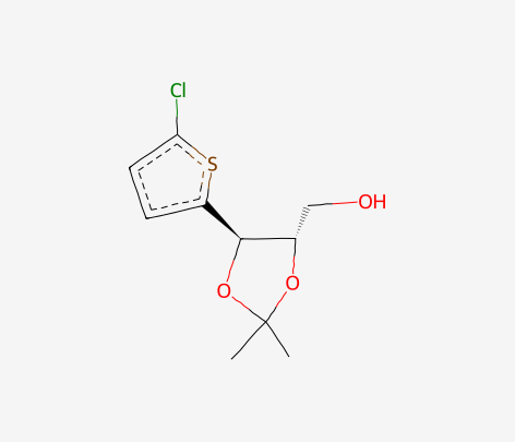 CC1(C)O[C@@H](CO)[C@H](c2ccc(Cl)s2)O1